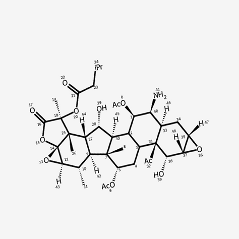 CC(=O)O[C@@H]1C2C(C[C@H](OC(C)=O)[C@]3(C)[C@H]4[C@H](C)[C@H]5O[C@]56OC(=O)[C@@](C)(OC(=O)CC(C)C)[C@]6(C)[C@@H]4[C@H](O)[C@@H]23)[C@]2(C(C)=O)[C@H](C[C@@H]3O[C@@H]3[C@@H]2O)[C@@H]1N